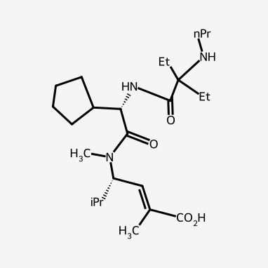 CCCNC(CC)(CC)C(=O)N[C@H](C(=O)N(C)[C@H](/C=C(\C)C(=O)O)C(C)C)C1CCCC1